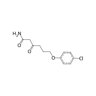 NC(=O)CC(=O)CCCOc1ccc(Cl)cc1